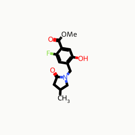 COC(=O)c1cc(O)c(CN2CC(C)CC2=O)cc1F